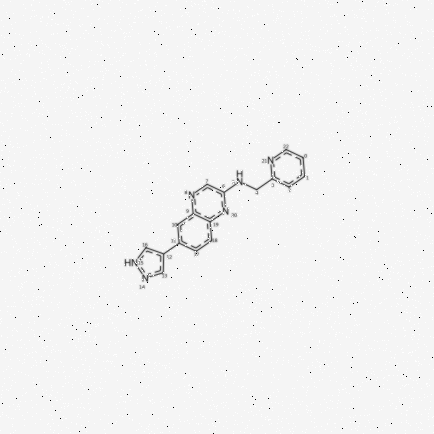 c1ccc(CNc2cnc3cc(-c4cn[nH]c4)ccc3n2)nc1